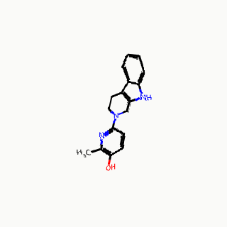 Cc1nc(N2CCc3c([nH]c4ccccc34)C2)ccc1O